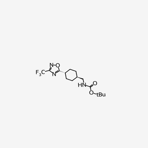 CC(C)(C)OC(=O)NC[C@H]1CC[C@H](c2nc(C(F)(F)F)no2)CC1